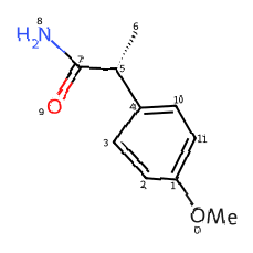 COc1ccc([C@@H](C)C(N)=O)cc1